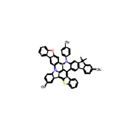 CC(C)(C)c1ccc(N2B3c4cc5oc6ccccc6c5cc4-n4c5ccc(C(C)(C)C)cc5c5c6sc7ccccc7c6c(c3c54)-c3cc4c(cc32)C(C)(C)c2cc(C(C)(C)C)ccc2-4)cc1